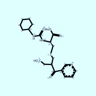 COC(=O)[C@@H](CSCC(CC(=O)O)C(=O)c1cccnc1)NC(=O)NC1CCCCC1